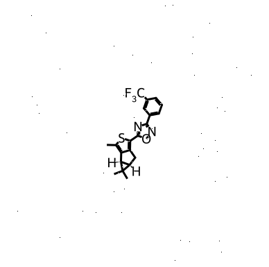 Cc1sc(-c2nc(-c3cccc(C(F)(F)F)c3)no2)c2c1[C@H]1[C@@H](C2)C1(C)C